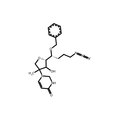 CC1(N2C=CC(=O)NC2)CO[C@H]([C@@H](CCCN=[N+]=[N-])OCc2ccccc2)C1O